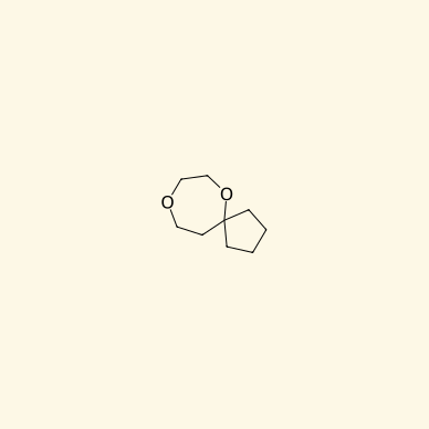 C1CCC2(C1)CCOCCO2